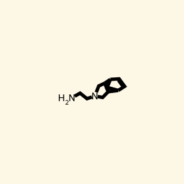 NCCN1CC2C3C=CC(C3)C2C1